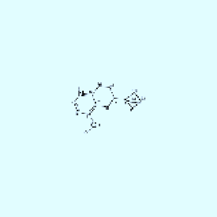 COc1ccnc2c1CC(C13CC(C1)C3)CC2